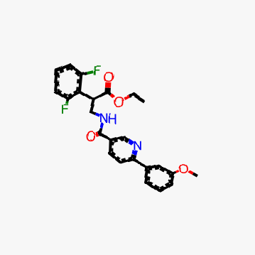 CCOC(=O)C(CNC(=O)c1ccc(-c2cccc(OC)c2)nc1)c1c(F)cccc1F